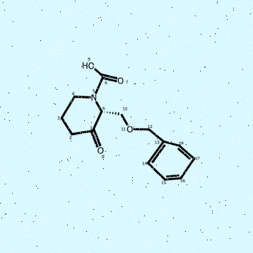 O=C1CCCN(C(=O)O)[C@@H]1COCc1ccccc1